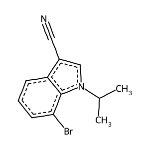 CC(C)n1cc(C#N)c2cccc(Br)c21